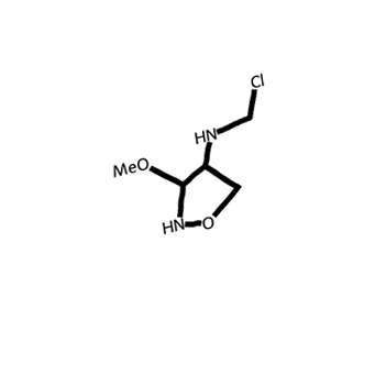 COC1NOCC1NCCl